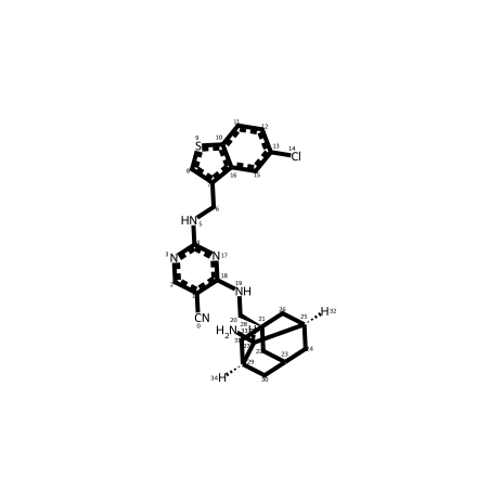 N#Cc1cnc(NCc2csc3ccc(Cl)cc23)nc1NC[C@]12CC3C[C@H](C1)[C@@H](N)[C@@H](C3)C2